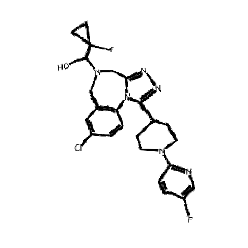 OC(N1Cc2cc(Cl)ccc2-n2c(nnc2C2CCN(c3ccc(F)cn3)CC2)C1)C1(F)CC1